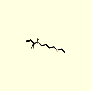 C=CC(=O)NCCCCOCC